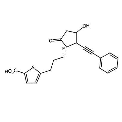 O=C(O)c1ccc(CCC[C@@H]2C(=O)CC(O)C2C#Cc2ccccc2)s1